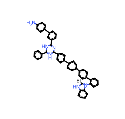 CCC1Nc2ccccc2N1c1ccccc1-c1ccc(-c2ccc(-c3ccc(C4N=C(c5cccc(-c6ccc(N)cc6)c5)NC(c5ccccc5)N4)cc3)cc2)cc1